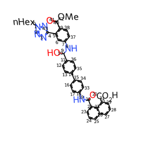 CCCCCCn1nnc(-c2cc(NC(O)c3ccc(-c4ccc(NC(=O)c5cccc6cccc(C(=O)O)c56)cc4)cc3)ccc2C(=O)OC)n1